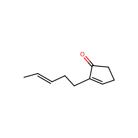 C/C=C/CCC1=CCCC1=O